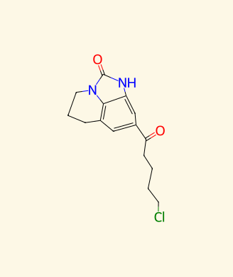 O=C(CCCCCl)c1cc2c3c(c1)[nH]c(=O)n3CCC2